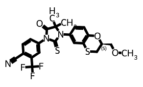 COC[C@H]1CSc2cc(N3C(=S)N(c4ccc(C#N)c(C(F)(F)F)c4)C(=O)C3(C)C)ccc2O1